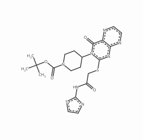 CC(C)(C)OC(=O)N1CCC(n2c(SCC(=O)Nc3nccs3)nc3nccnc3c2=O)CC1